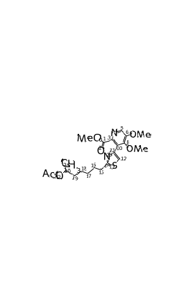 COC(=O)c1ncc(OC)c(OC)c1-c1csc(CCCCCC(C)OC(C)=O)n1